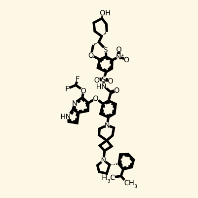 CC(C)c1ccccc1[C@@H]1CCCN1C1CC2(CCN(c3ccc(C(=O)NS(=O)(=O)c4cc5c(c([N+](=O)[O-])c4)S[C@@H]([C@H]4CC[C@H](O)CC4)CO5)c(Oc4cc5cc[nH]c5nc4OC(F)F)c3)CC2)C1